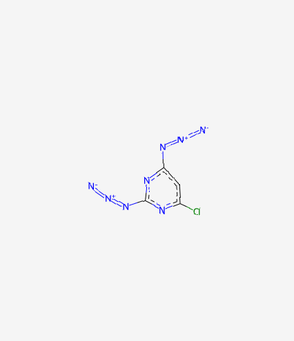 [N-]=[N+]=Nc1cc(Cl)nc(N=[N+]=[N-])n1